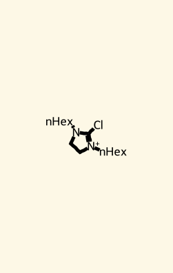 CCCCCCN1CC[N+](CCCCCC)=C1Cl